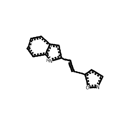 C(=Cc1ccno1)c1cc2ccccc2[nH]1